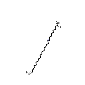 CCCCCCCCCCCCCCCCCC/C=C/CCCCCCCC(=O)O